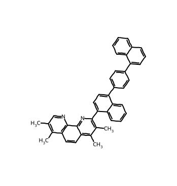 Cc1cnc2c(ccc3c(C)c(C)c(-c4ccc(-c5ccc(-c6cccc7ccccc67)cc5)c5ccccc45)nc32)c1C